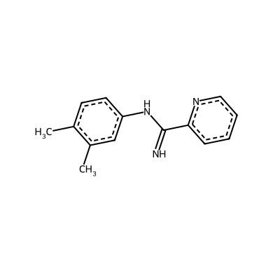 Cc1ccc(NC(=N)c2ccccn2)cc1C